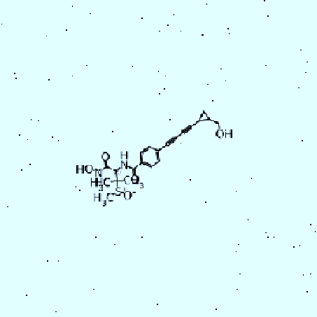 C[S+]([O-])C(C)(C)[C@H](NC(=O)c1ccc(C#CC#CC2CC2CO)cc1)C(=O)NO